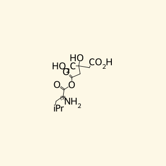 CC(C)C[C@H](N)C(=O)OC(=O)CC(O)(CC(=O)O)C(=O)O